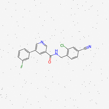 N#Cc1ccc(CNC(=O)c2cncc(-c3cccc(F)c3)c2)c(Cl)c1